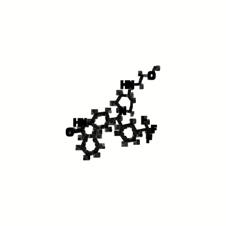 COCCNC1CCN(C(c2cccc(C(F)(F)F)c2)c2ccc3[nH]c(=O)c4ccccc4c3c2)CC1